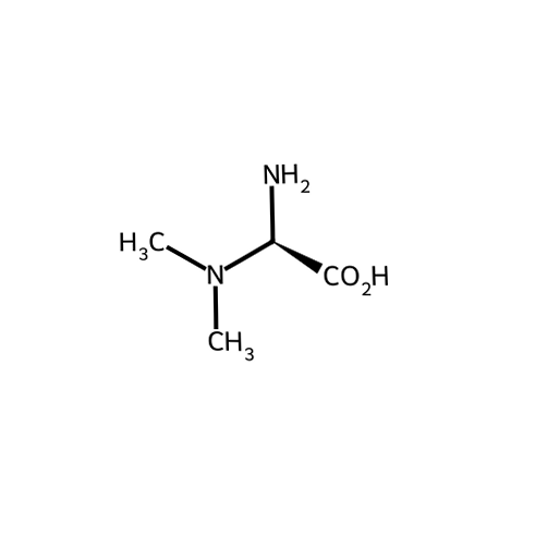 CN(C)[C@@H](N)C(=O)O